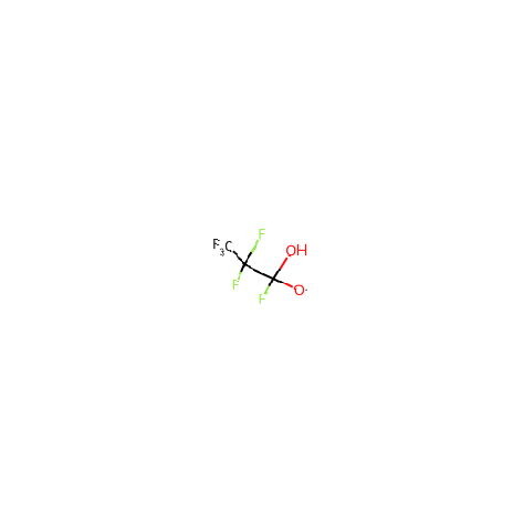 [O]C(O)(F)C(F)(F)C(F)(F)F